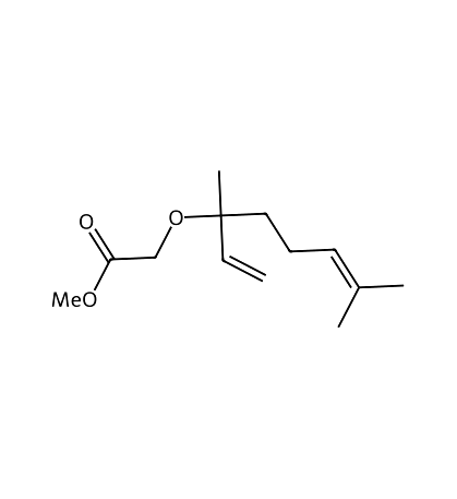 C=CC(C)(CCC=C(C)C)OCC(=O)OC